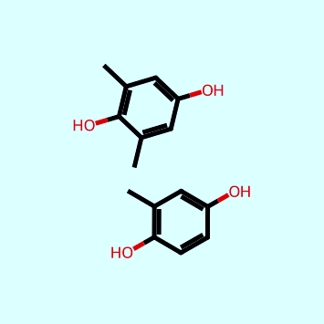 Cc1cc(O)cc(C)c1O.Cc1cc(O)ccc1O